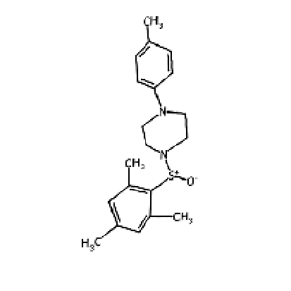 Cc1ccc(N2CCN([S+]([O-])c3c(C)cc(C)cc3C)CC2)cc1